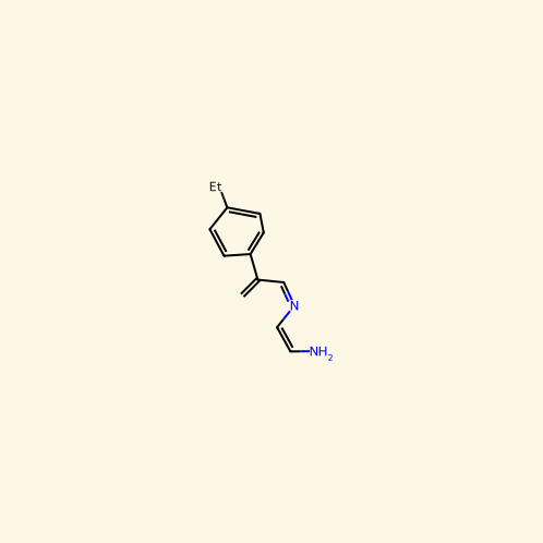 C=C(/C=N\C=C/N)c1ccc(CC)cc1